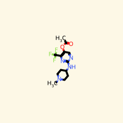 CC(=O)Oc1cnc(NC2CCN(C)CC2)nc1C(F)(F)F